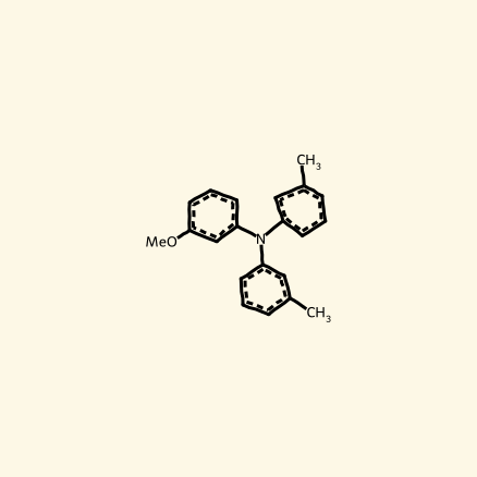 COc1cccc(N(c2cccc(C)c2)c2cccc(C)c2)c1